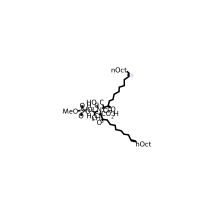 CCCCCCCCC=CCCCCCCCC(=O)C(C)(C(=O)O)[N+](C)(C(C)O)C(C)(C(=O)O)C(=O)CCCCCCC/C=C\CCCCCCCC.COS(=O)(=O)[O-]